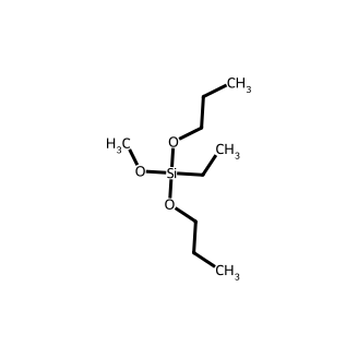 CCCO[Si](CC)(OC)OCCC